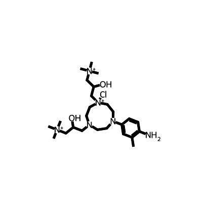 Cc1cc(N2CCN(CC(O)C[N+](C)(C)C)CC[N+](Cl)(CC(O)C[N+](C)(C)C)CC2)ccc1N